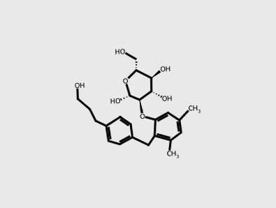 Cc1cc(C)c(Cc2ccc(CCCO)cc2)c(O[C@@H]2[C@@H](O)[C@H](O)[C@@H](CO)O[C@H]2O)c1